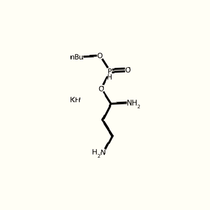 CCCCO[PH](=O)OC(N)CCN.[KH]